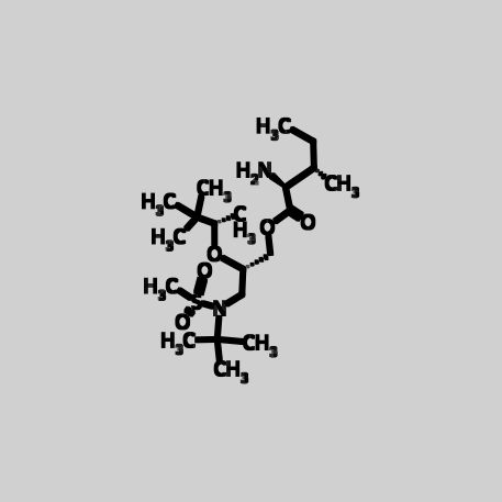 CC[C@H](C)[C@H](N)C(=O)OC[C@H](CN(C(C)(C)C)S(C)(=O)=O)O[C@@H](C)C(C)(C)C